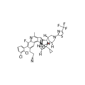 Cc1nc2c(F)c(-c3cccc(Cl)c3Cl)c(CCC#N)cc2c2c1cc([C@H]1[C@H]3C[C@H](CN(c4nc(C(F)(F)F)cs4)C3)N1C(=O)C1CC1)n2[C@H]1[C@H]2CN[C@@H]1C2